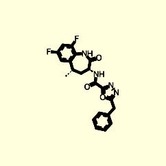 C[C@H]1C[C@@H](NC(=O)c2nnc(Cc3ccccc3)o2)C(=O)Nc2c(F)cc(F)cc21